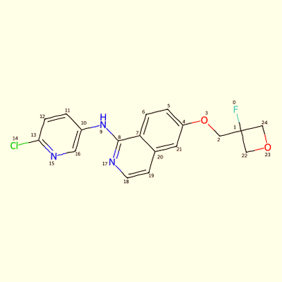 FC1(COc2ccc3c(Nc4ccc(Cl)nc4)nccc3c2)COC1